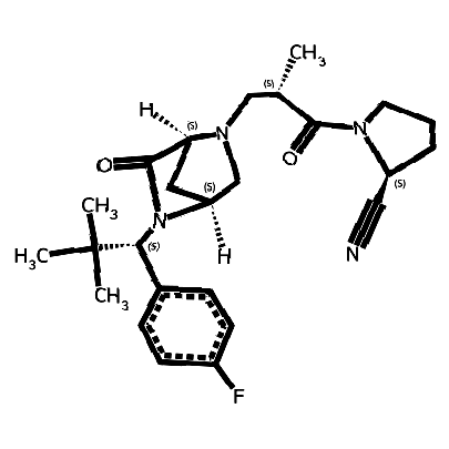 C[C@@H](CN1C[C@@H]2C[C@H]1C(=O)N2[C@H](c1ccc(F)cc1)C(C)(C)C)C(=O)N1CCC[C@H]1C#N